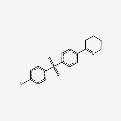 O=S(=O)(c1ccc(Br)cc1)c1ccc(C2=NCCCC2)cc1